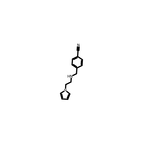 N#Cc1ccc(CNCCn2cccc2)cc1